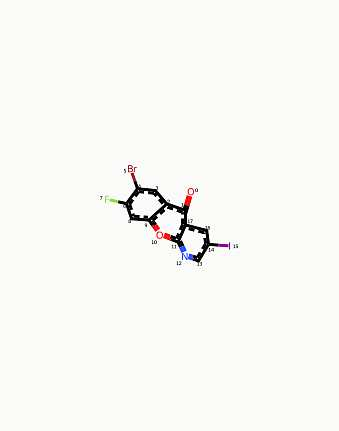 O=c1c2cc(Br)c(F)cc2oc2ncc(I)cc12